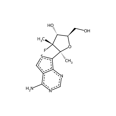 C[C@@]1(c2scc3c(N)ncnc23)O[C@H](CO)[C@@H](O)[C@@]1(C)F